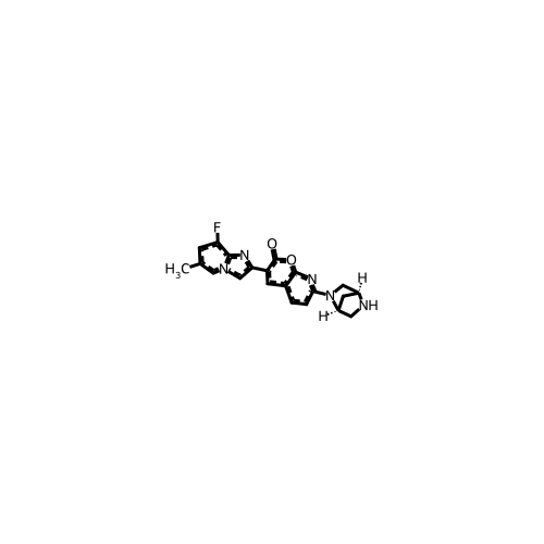 Cc1cc(F)c2nc(-c3cc4ccc(N5C[C@@H]6C[C@H]5CN6)nc4oc3=O)cn2c1